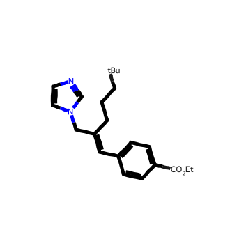 CCOC(=O)c1ccc(/C=C(\CCCC(C)(C)C)Cn2ccnc2)cc1